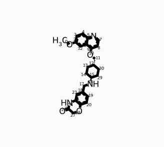 COc1ccc2nccc(OC[C@H]3CC[C@H](NCc4ccc5c(c4)NC(=O)CO5)CC3)c2c1